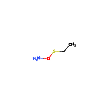 CCSON